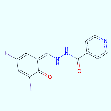 O=C1C(I)=CC(I)=CC1=CNNC(=O)c1ccncc1